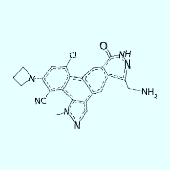 Cn1ncc2c3cc4c(CN)n[nH]c(=O)c4cc3c3c(Cl)cc(N4CCC4)c(C#N)c3c21